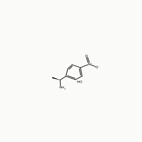 C[C@H](N)c1ccc([N+](=O)[O-])cc1.Cl